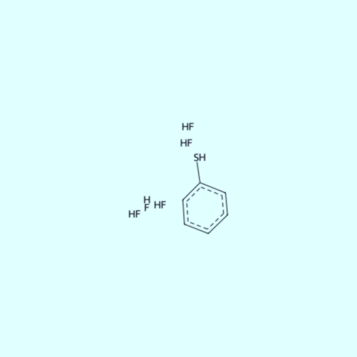 F.F.F.F.F.Sc1ccccc1